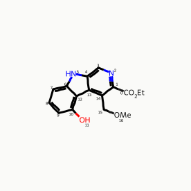 CCOC(=O)c1ncc2[nH]c3cccc(O)c3c2c1COC